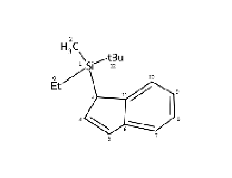 CC[Si](C)(C1C=Cc2ccccc21)C(C)(C)C